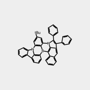 CC(C)(C)c1cc2c3c(c1)-n1c4ccccc4c4cccc(c41)B3c1c3ccccc3cc3c(-c4ccccc4)c(-c4ccccc4)n-2c13